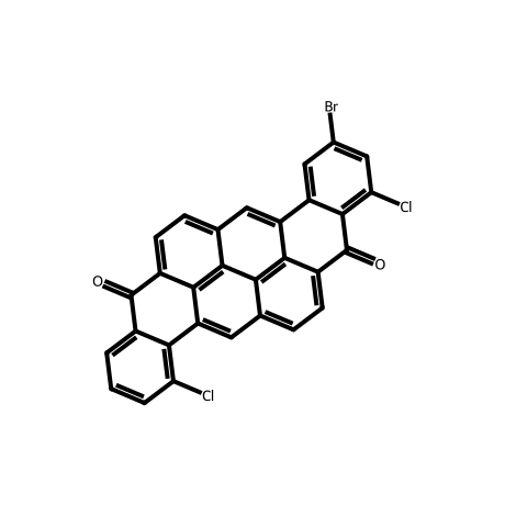 O=c1c2cccc(Cl)c2c2cc3ccc4c(=O)c5c(Cl)cc(Br)cc5c5cc6ccc1c2c6c3c45